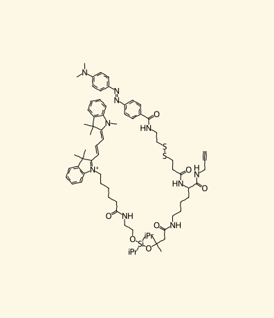 C#CCNC(=O)C(CCCCNC(=O)CC(C)(C)O[Si](OCCNC(=O)CCCCC[N+]1=C(/C=C/C=C2/N(C)c3ccccc3C2(C)C)C(C)(C)c2ccccc21)(C(C)C)C(C)C)NC(=O)CCSSCCNC(=O)c1ccc(/N=N/c2ccc(N(C)C)cc2)cc1